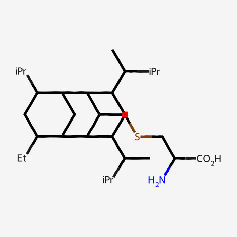 CCC1CC(C(C)C)C2CC1C1C(C(C)C(C)C)CC(C(C)C(C)C)C2C1CSCC(N)C(=O)O